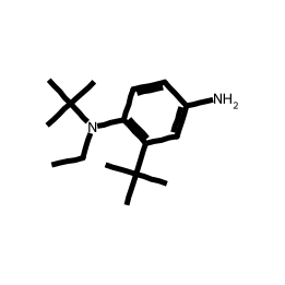 CCN(c1ccc(N)cc1C(C)(C)C)C(C)(C)C